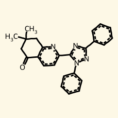 CC1(C)CC(=O)c2ccc(-c3nc(-c4ccccc4)nn3-c3ccccc3)nc2C1